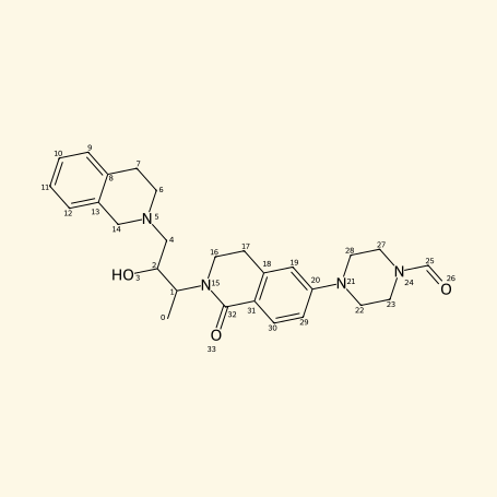 CC(C(O)CN1CCc2ccccc2C1)N1CCc2cc(N3CCN(C=O)CC3)ccc2C1=O